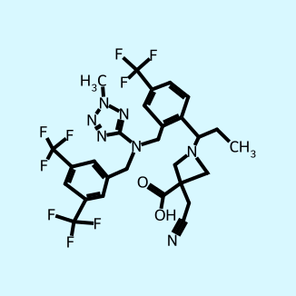 CCC(c1ccc(C(F)(F)F)cc1CN(Cc1cc(C(F)(F)F)cc(C(F)(F)F)c1)c1nnn(C)n1)N1CC(CC#N)(C(=O)O)C1